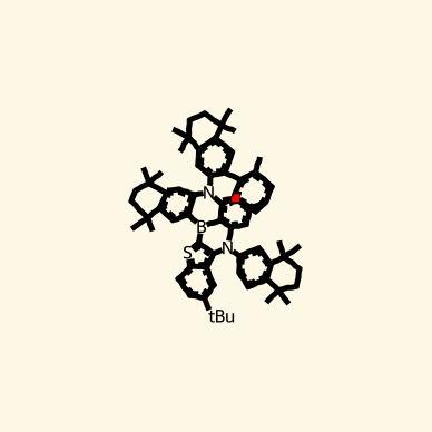 Cc1cc2c3c(c1)N(c1ccc4c(c1)C(C)(C)CCC4(C)C)c1c(sc4ccc(C(C)(C)C)cc14)B3c1cc3c(cc1N2c1cc2c(cc1-c1c(C)cccc1C)C(C)(C)CCC2(C)C)C(C)(C)CCC3(C)C